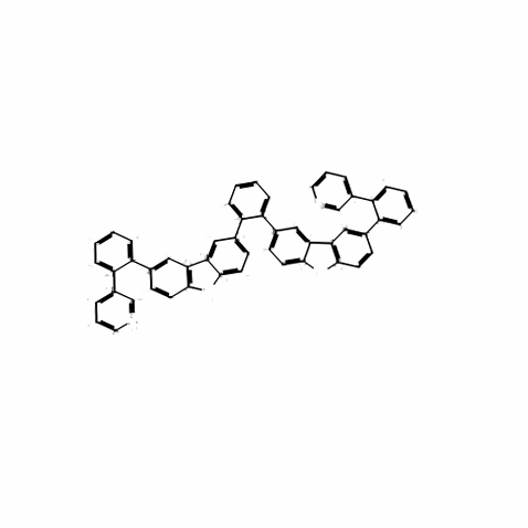 c1cncc(-c2ccccc2-c2ccc3oc4ccc(-c5ccccc5-c5ccc6oc7ccc(-c8ccccc8-c8cccnc8)cc7c6c5)cc4c3c2)c1